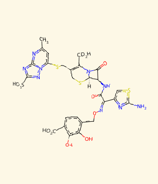 Cc1cc(SCC2=C(C(=O)O)N3C(=O)[C@@H](NC(=O)/C(=N\OCc4ccc(C(=O)O)c(O)c4O)c4csc(N)n4)[C@H]3SC2)n2nc(S(=O)(=O)O)nc2n1